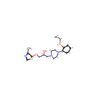 Cc1ncsc1OCC(O)CN1CCN(c2ccccc2OCC(C)(C)C)CC1